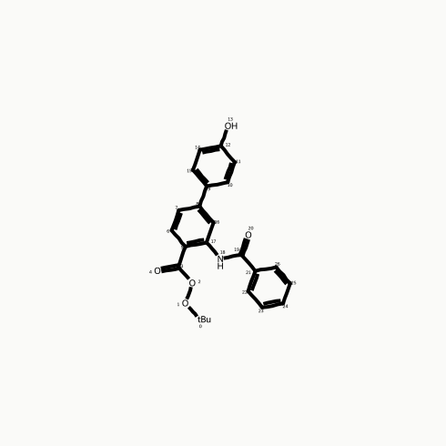 CC(C)(C)OOC(=O)c1ccc(-c2ccc(O)cc2)cc1NC(=O)c1ccccc1